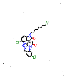 C[C@@H](c1ccc(Cl)cc1)n1nnc2c1NC(=O)C[C@]21C(=O)N(CCCCCCCCBr)c2ccc(Cl)cc21